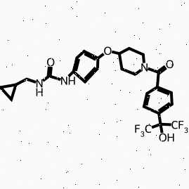 O=C(NCC1CC1)Nc1ccc(OC2CCN(C(=O)c3ccc(C(O)(C(F)(F)F)C(F)(F)F)cc3)CC2)cc1